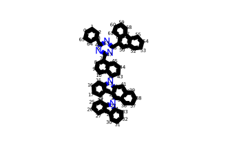 c1ccc(-c2nc(-c3cccc4c(-n5c6ccccc6c6c(-n7c8ccccc8c8ccccc87)c7ccccc7cc65)cccc34)nc(-c3cc4ccccc4c4ccccc34)n2)cc1